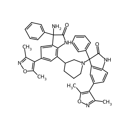 Cc1noc(C)c1-c1cc(C2CCCN(C3(c4ccccc4)C(=O)Nc4ccc(-c5c(C)noc5C)cc43)C2)c2c(c1)C(N)(c1ccccc1)C(=O)N2